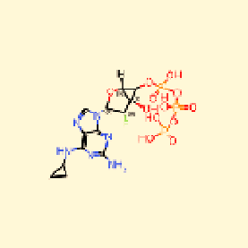 Nc1nc(NC2CC2)c2ncn([C@@H]3O[C@@H]4C(OP(=O)(O)OP(=O)(O)OP(=O)(O)O)[C@]4(O)[C@H]3F)c2n1